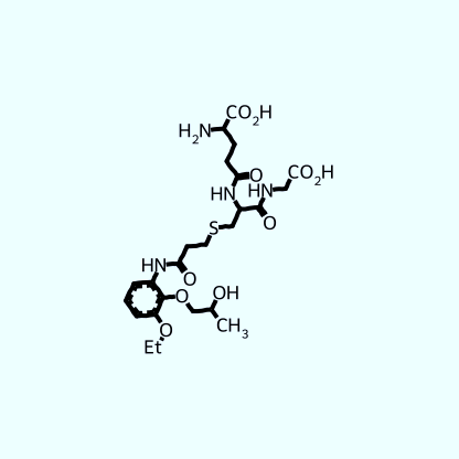 CCOc1cccc(NC(=O)CCSCC(NC(=O)CCC(N)C(=O)O)C(=O)NCC(=O)O)c1OCC(C)O